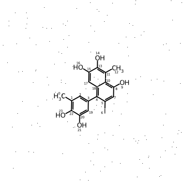 Cc1cc(-c2c(I)cc(O)c3c(C)c(O)c(O)cc23)cc(O)c1O